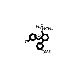 COc1cccc(C2CCCC(CN(C)C)C2(O)Cc2cccc(Cl)c2)c1